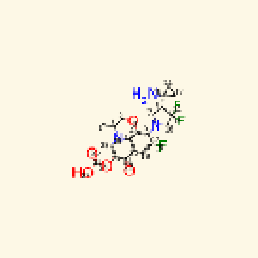 C[C@H]1COc2c(N3C[C@H](C4(N)CC4)C(F)(F)C3)c(F)cc3c(=O)c(OC(=O)O)cn1c23